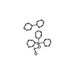 O=PO[Si](c1ccccc1)(c1ccccc1)c1ccccc1.c1ccc(-c2ccccc2)cc1